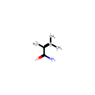 CC(C(N)=O)=[Si](C)C